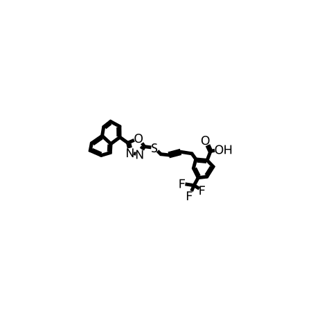 O=C(O)c1ccc(C(F)(F)F)cc1CC#CCSc1nnc(-c2cccc3ccccc23)o1